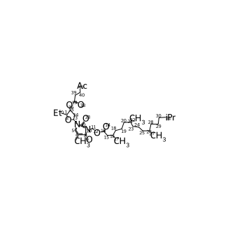 CCC1OC(n2cc(C)c(=O)n(COC(=O)CC(C)CCCC(C)CCCC(C)CCCC(C)C)c2=O)C[C@H]1OC(=O)CCC(C)=O